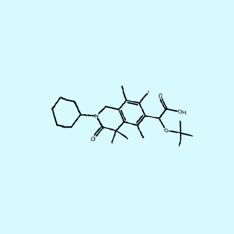 Cc1c(I)c(C(OC(C)(C)C)C(=O)O)c(C)c2c1CN(C1CCCCC1)C(=O)C2(C)C